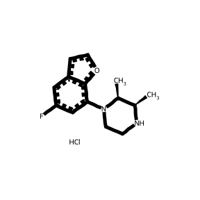 C[C@H]1NCCN(c2cc(F)cc3ccoc23)[C@H]1C.Cl